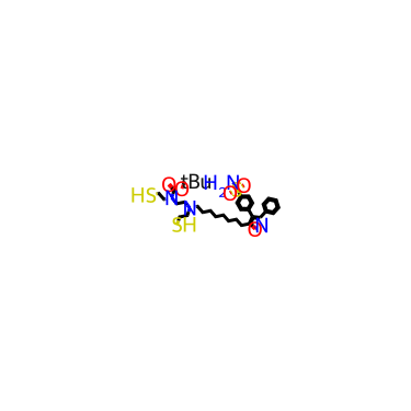 CC(C)(C)OC(=O)N(CCS)CCN(CCS)CCCCCCCCc1onc(-c2ccccc2)c1-c1ccc(S(N)(=O)=O)cc1